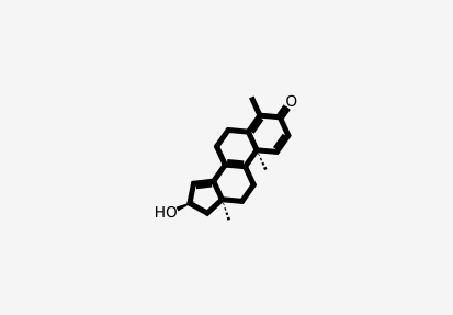 CC1=C2CCC3=C(CC[C@@]4(C)C[C@@H](O)C=C34)[C@]2(C)C=CC1=O